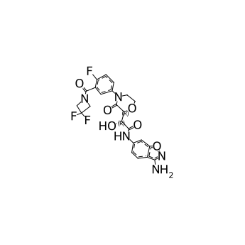 Nc1noc2cc(NC(=O)[C@H](O)[C@H]3OCCN(c4ccc(F)c(C(=O)N5CC(F)(F)C5)c4)C3=O)ccc12